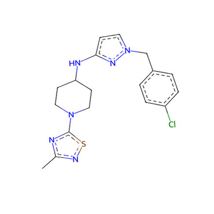 Cc1nsc(N2CCC(Nc3ccn(Cc4ccc(Cl)cc4)n3)CC2)n1